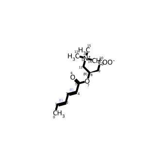 C/C=C/C=C/C(=O)O[C@H](CC(=O)[O-])C[N+](C)(C)C